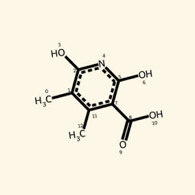 Cc1c(O)nc(O)c(C(=O)O)c1C